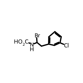 O=C(O)NC(Br)Cc1cccc(Cl)c1